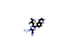 Cc1nsc(-c2nc(N)c(C#N)nc2-c2ccc3ncccc3c2)c1C